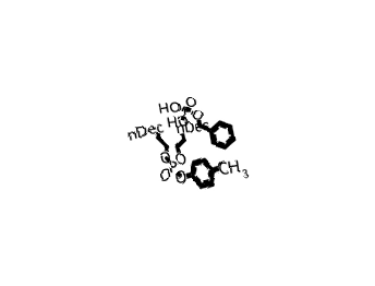 CCCCCCCCCCCCOP(=O)(OCCCCCCCCCCCC)Oc1ccc(C)cc1.O=P(O)(O)OCc1ccccc1